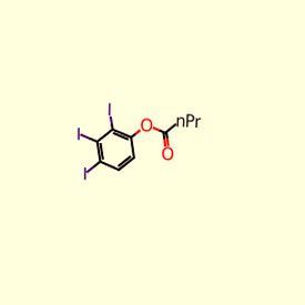 CCCC(=O)Oc1ccc(I)c(I)c1I